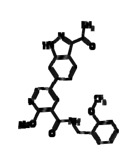 COc1ncc(-c2ccc3c(C(N)=O)n[nH]c3c2)cc1C(=O)NCc1ccccc1OC(F)(F)F